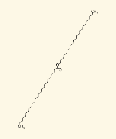 CCCCCCCCCCCCCCCCCCCCCCCCC(=O)OCCCCCCCCCCCCCCCCCCCCCC